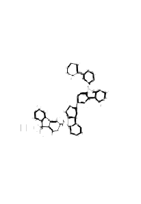 CC1(C)C2=CCC(n3c4ccccc4c4cc(-c5ccc6c(c5)c5ccccc5n6-c5cccc(C6=CC=CCC6)c5)ccc43)C=C2c2ccccc21